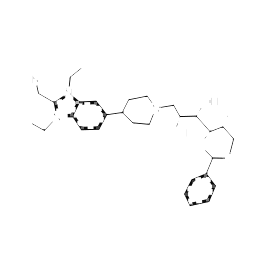 CCn1c(CN)[n+](CC)c2ccc(C3CCN(C[C@H](O)[C@@H](O)[C@@H]4OC(c5ccccc5)OC[C@H]4O)CC3)cc21